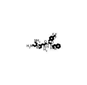 C[N+]1(C(CCN)CCN)CCC(C[C@H](N)C(=O)N[C@@H](Cc2ccc(C(F)(F)F)cc2)C(=O)Nc2cnc3ccccc3c2)C1